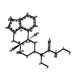 CCNC(=O)N(CC)C1CN[C@@H]2Cc3c[nH]c4cccc(c34)[C@H]2C1